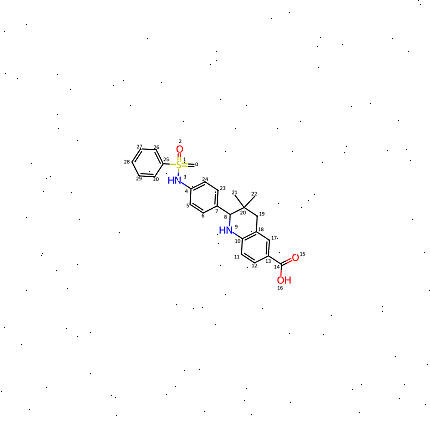 C=S(=O)(Nc1ccc(C2Nc3ccc(C(=O)O)cc3CC2(C)C)cc1)c1ccccc1